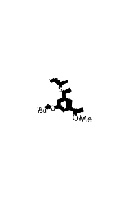 C=C(OC)c1cc(OCC(C)CC)cc(C(=C)S/C(C)=C\C)c1